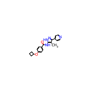 Cc1c(-c2ccncc2)n[nH]c1NC(=O)c1ccc(OC2CCC2)cc1